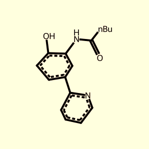 CCCCC(=O)Nc1cc(-c2ccccn2)ccc1O